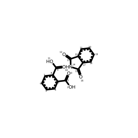 O=C(O)c1ccccc1C(=O)O.O=C1NC(=O)c2ccccc21